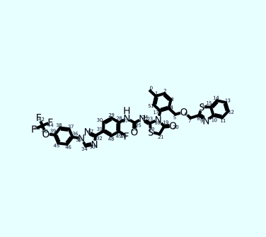 Cc1ccc(COCc2nc3ccccc3s2)c(N2C(=O)CS/C2=N\C(=O)Nc2ccc(-c3ncn(-c4ccc(OC(F)(F)F)cc4)n3)cc2F)c1